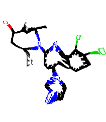 CCC1CC(=O)CC(C)N1c1cc(-n2ccnc2)c2ccc(Cl)c(Cl)c2n1